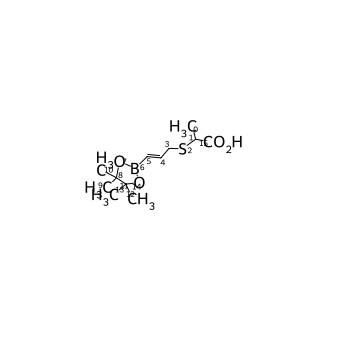 CC(SC/C=C/B1OC(C)(C)C(C)(C)O1)C(=O)O